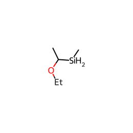 CCOC(C)[SiH2]C